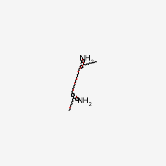 CCCCCCCCCC(c1ccc(CCCCCCCCCCCCCCCCCc2ccc(C(CCCCCCCCC)c3ccc(N)cc3C)cc2)cc1)c1ccc(N)cc1C